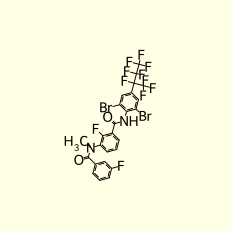 CN(C(=O)c1cccc(F)c1)c1cccc(C(=O)Nc2c(Br)cc(C(F)(C(F)(F)F)C(F)(F)C(F)(F)F)cc2Br)c1F